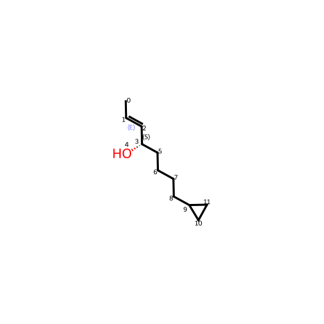 C/C=C/[C@@H](O)CCCCC1CC1